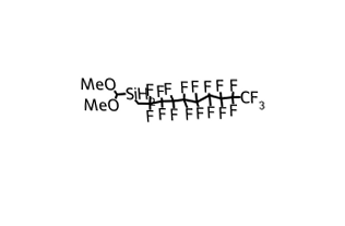 COC(OC)[SiH2]CC(F)(F)C(F)(F)C(F)(F)C(F)(F)C(F)(F)C(F)(F)C(F)(F)C(F)(F)C(F)(F)F